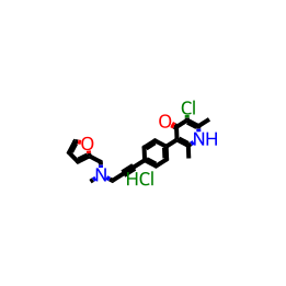 Cc1[nH]c(C)c(-c2ccc(C#CCN(C)Cc3ccco3)cc2)c(=O)c1Cl.Cl